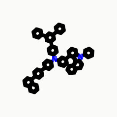 c1ccc(-c2cc(-c3ccccc3)cc(-c3ccc(N(c4ccc(-c5ccc(-c6cccc7ccccc67)cc5)cc4)c4cccc(-c5cccc6c5c5c7ccccc7ccc5n6-c5ccccc5)c4)cc3)c2)cc1